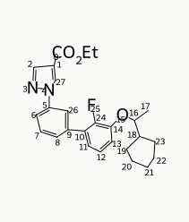 CCOC(=O)c1cnn(-c2cccc(-c3cccc(OC(C)C4CCCCC4)c3F)c2)c1